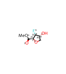 COC(=O)[C@@H]1OC[C@@H](O)[C@@H]1F